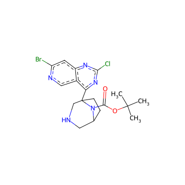 CC(C)(C)OC(=O)N1C2CCC1(c1nc(Cl)nc3cc(Br)ncc13)CNC2